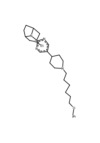 CCN1CC2CCC(C1)N2c1ncc(C2CCN(CCCCCCOC(C)C)CC2)cn1